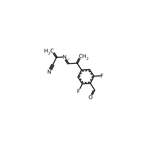 C=C(C#N)/N=C/C(=C)c1cc(F)c(C=O)c(F)c1